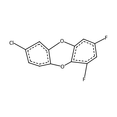 Fc1cc(F)c2c(c1)Oc1cc(Cl)ccc1O2